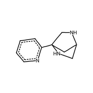 c1ccc(C23CNC(CN2)C3)nc1